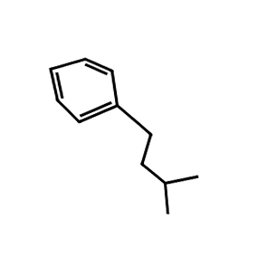 CC(C)CCc1ccccc1